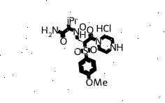 COc1ccc(S(=O)(=O)[C@H](CN(O)C(C(N)=O)C(C)C)C(=O)N2CCNCC2)cc1.Cl